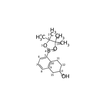 CC1(C)OB(c2cccc3c2CCC(O)C3)OC1(C)C